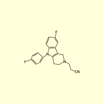 N#CCCN1CCc2c(c3cc(F)ccc3n2-c2ccc(F)cc2)C1